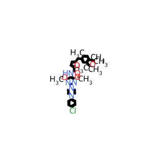 COc1nc(N2CCN(c3ccc(Cl)cc3)CC2)nc(OC)c1NC(=O)c1ccc(Cc2cc3c(cc2C)C(C)(C)OC3(C)C)o1